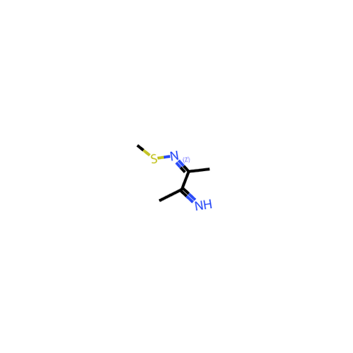 CS/N=C(/C)C(C)=N